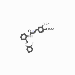 COc1ccc(/C=C/C(=O)Nc2ccccc2COc2ccccc2F)cc1OC(C)=O